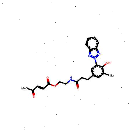 COC(=O)C=CC(=O)OCCNC(=O)CCc1cc(-n2nc3ccccc3n2)c(O)c(C(C)(C)C)c1